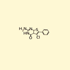 NC1=NC2SC(c3ccccc3)=C(Cl)C2C(=O)N1